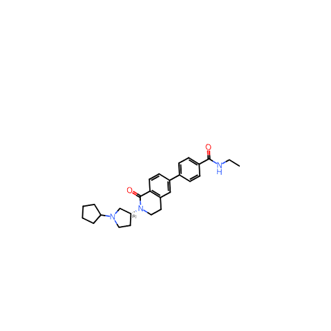 CCNC(=O)c1ccc(-c2ccc3c(c2)CCN([C@@H]2CCN(C4CCCC4)C2)C3=O)cc1